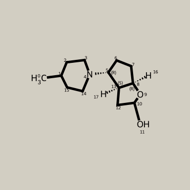 CC1CCN([C@@H]2CC[C@H]3OC(O)C[C@@H]23)CC1